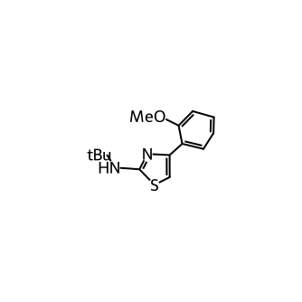 COc1ccccc1-c1csc(NC(C)(C)C)n1